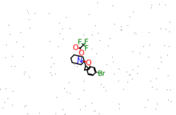 O=C(OC12CCCC(CC(Oc3cccc(Br)c3)C1)N2CC1CC1)C(F)(F)F